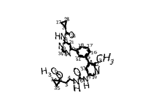 COC1(CCNC(=O)Nc2cnc(C)c(-c3cccc(-c4cc(NC(=O)C5CC5)ncn4)c3)c2)CC1